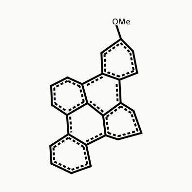 COc1ccc2c(c1)c1cccc3c4ccccc4c4cccc2c4c31